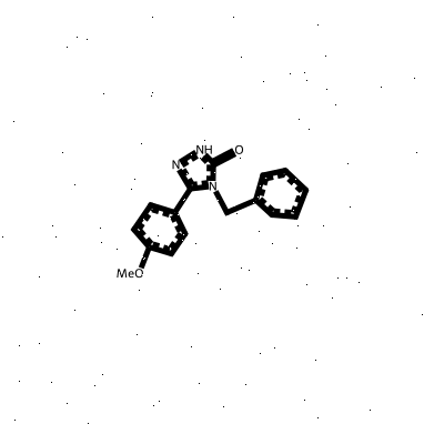 COc1ccc(-c2n[nH]c(=O)n2Cc2ccccc2)cc1